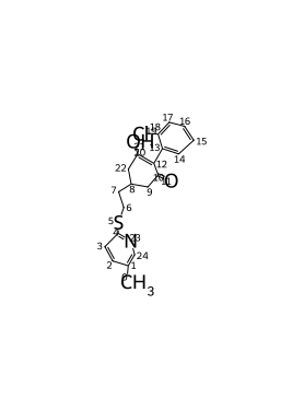 Cc1ccc(SCCC2CC(=O)C(c3ccccc3Cl)=C(O)C2)nc1